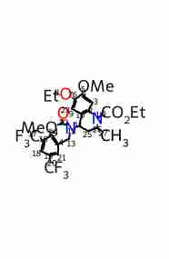 CCOC(=O)N1c2cc(OC)c(OCC)cc2C(N(Cc2cc(C(F)(F)F)cc(C(F)(F)F)c2)C(=O)OC)CC1C